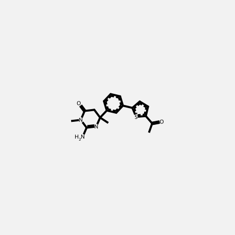 CC(=O)c1ccc(-c2cccc(C3(C)CC(=O)N(C)C(N)=N3)c2)s1